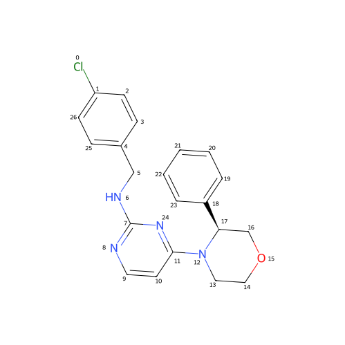 Clc1ccc(CNc2nccc(N3CCOC[C@@H]3c3ccccc3)n2)cc1